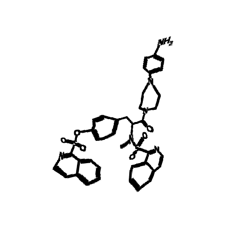 CN(C(Cc1ccc(OS(=O)(=O)c2nccc3ccccc23)cc1)C(=O)N1CCN(c2ccc(N)cc2)CC1)S(=O)(=O)c1nccc2ccccc12